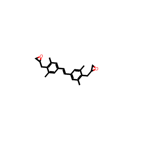 Cc1cc(/C=C/c2cc(C)c(CC3CO3)c(C)c2)cc(C)c1CC1CO1